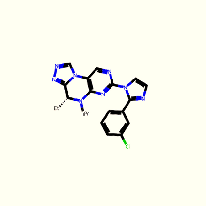 CC[C@@H]1c2nncn2-c2cnc(-n3ccnc3-c3cccc(Cl)c3)nc2N1C(C)C